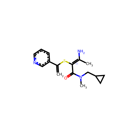 C=C(S/C(C(=O)N(C)CC1CC1)=C(/C)N)c1cccnc1